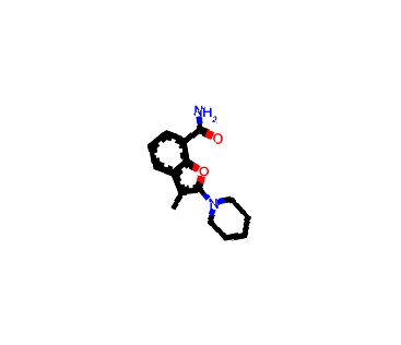 Cc1c(N2CCCCC2)oc2c(C(N)=O)cccc12